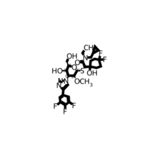 CCN(CC1CC1)C(=O)[C@H](S[C@@H]1O[C@H](CO)[C@H](O)[C@H](n2cc(-c3cc(F)c(F)c(F)c3)nn2)[C@H]1OC)C1(O)CCC(F)(F)CC1